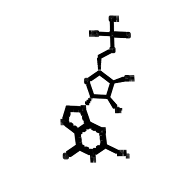 Nc1nc2c(ncn2[C@@H]2O[C@H](COP(=O)(O)O)[C@@H](O)[C@H]2Br)c(=O)[nH]1